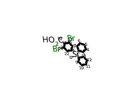 C[Si](c1ccccc1)(c1ccccc1)c1cc(Br)c(C(=O)O)c(Br)c1